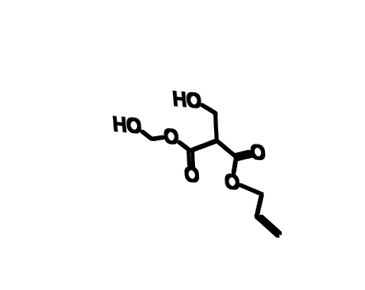 C=CCOC(=O)C(CO)C(=O)OCO